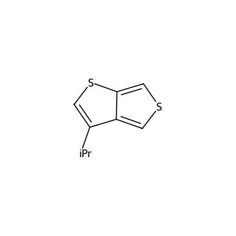 CC(C)c1csc2cscc12